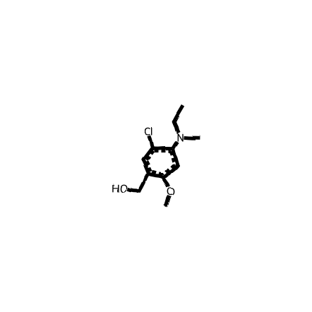 CCN(C)c1cc(OC)c(CO)cc1Cl